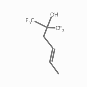 CC=CCC(O)(C(F)(F)F)C(F)(F)F